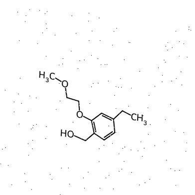 CCc1ccc(CO)c(OCCOC)c1